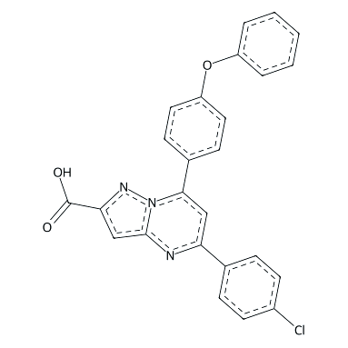 O=C(O)c1cc2nc(-c3ccc(Cl)cc3)cc(-c3ccc(Oc4ccccc4)cc3)n2n1